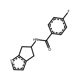 O=C(NC1Cc2ccsc2C1)c1ccc(F)cc1